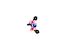 C=C[C@H](C)[C@H](CN(C(=O)OCc1ccccc1)[C@@H](C)C=C)NC(=O)OCc1ccccc1